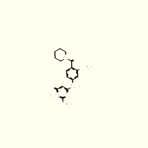 COc1cc(Nc2cc(=O)[nH]c(SC)n2)ccc1C(=O)N1CCCCC1